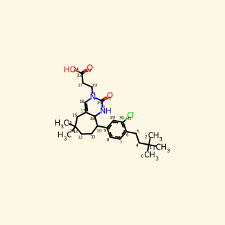 CC(C)(C)CCc1ccc(C2CCC(C)(C)CC3=CN(CCC(=O)O)C(=O)NC32)cc1Cl